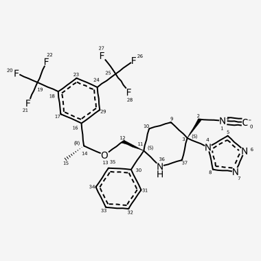 [C-]#[N+]C[C@]1(n2cnnc2)CC[C@@](CO[C@H](C)c2cc(C(F)(F)F)cc(C(F)(F)F)c2)(c2ccccc2)NC1